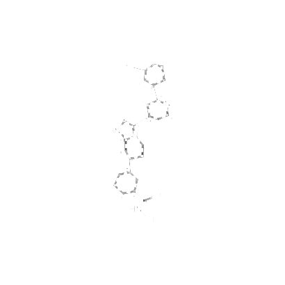 CNC(=O)c1cccc(-c2ccn3c(-c4ccnc(-c5cccc(F)c5)c4)cnc3c2)c1